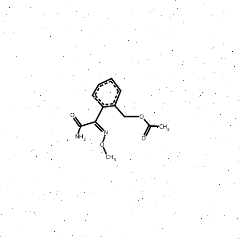 CON=C(C(N)=O)c1ccccc1COC(C)=O